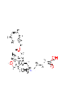 C[C@]12CO[C@H](C1)[C@H](COCc1ccccc1)[C@H]2C/C=C\CCCC(=O)O